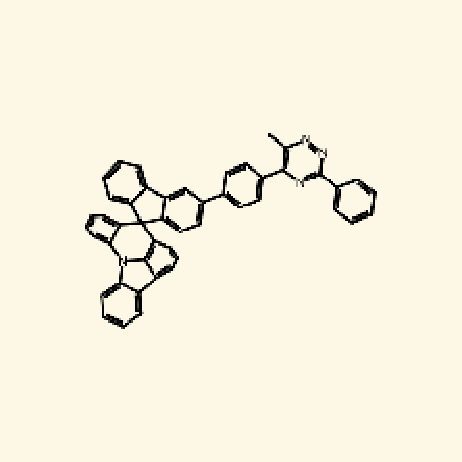 Cc1nnc(-c2ccccc2)nc1-c1ccc(-c2ccc3c(c2)-c2ccccc2C32c3ccccc3-n3c4ccccc4c4cccc2c43)cc1